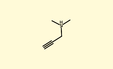 C#CC[SiH](C)C